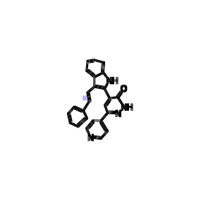 O=c1[nH]nc(-c2ccncc2)cc1-c1[nH]c2ccccc2c1/C=C/c1ccccc1